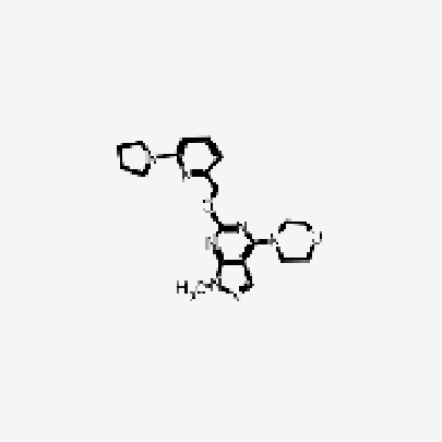 Cn1ncc2c(N3CCOCC3)nc(OCc3cccc(N4CCCC4)n3)nc21